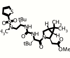 COC(=O)C[C@@H]1[C@@H]2[C@H](CN1C(=O)[C@@H](NC(=O)N[C@H](CN(C)S(=O)(=O)c1cccs1)C(C)(C)C)C(C)(C)C)C2(C)C